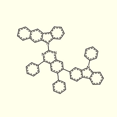 c1ccc(-c2cc3c(-c4ccccc4)nc(-n4c5ccccc5c5cc6ccccc6cc54)nc3cc2-c2ccc3c4ccccc4n(-c4ccccc4)c3c2)cc1